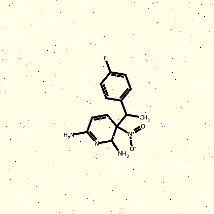 CC(c1ccc(F)cc1)C1([N+](=O)[O-])C=CC(N)=NC1N